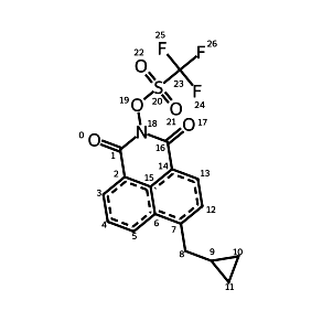 O=C1c2cccc3c(CC4CC4)ccc(c23)C(=O)N1OS(=O)(=O)C(F)(F)F